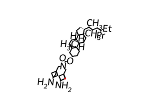 CC[C@H](CC[C@@H](C)[C@H]1CC[C@H]2[C@@H]3CC=C4C[C@@H](OC(=O)N(CC56CC(N)(C5)C6)CC56CC(N)(C5)C6)CC[C@]4(C)[C@H]3CC[C@]12C)C(C)C